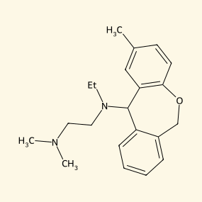 CCN(CCN(C)C)C1c2ccccc2COc2ccc(C)cc21